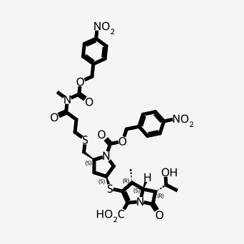 CC(O)[C@@H]1C(=O)N2C(C(=O)O)=C(S[C@H]3C[C@@H](CSCCC(=O)N(C)C(=O)OCc4ccc([N+](=O)[O-])cc4)N(C(=O)OCc4ccc([N+](=O)[O-])cc4)C3)[C@H](C)[C@H]12